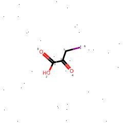 O=C(O)C(=O)CI